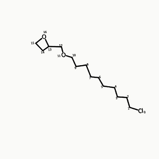 ClCCCCCCCCCCOCC1CCO1